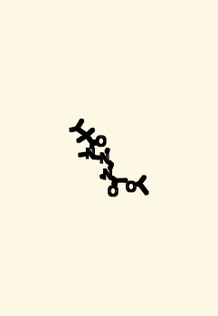 CC(C)OCC(=O)N(C)CN(C)CN(C)C(=O)C(C)(C)C(C)C